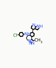 Cc1nnn2c1-c1ccc(-c3ccnc4[nH]ccc34)cc1C(Nc1ccc(Cl)cc1)CC2